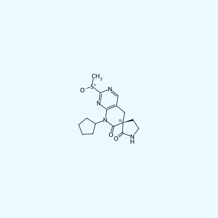 C[S+]([O-])c1ncc2c(n1)N(C1CCCC1)C(=O)[C@]1(CCNC1=O)C2